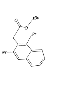 CC(C)c1cc2ccccc2c(C(C)C)c1CC(=O)OC(C)(C)C